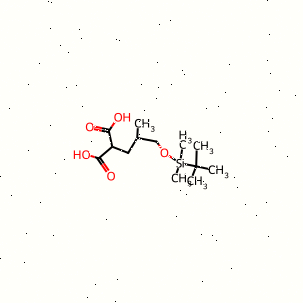 CC(CO[Si](C)(C)C(C)(C)C)CC(C(=O)O)C(=O)O